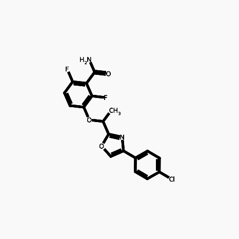 CC(Oc1ccc(F)c(C(N)=O)c1F)c1nc(-c2ccc(Cl)cc2)co1